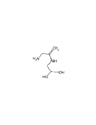 C=C(CN)NCC(O)O